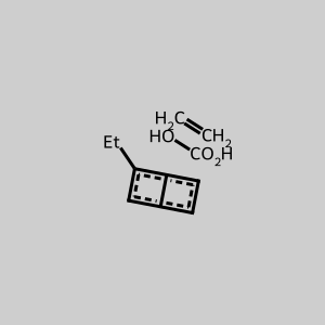 C=C.CCc1cc2ccc1-2.O=C(O)O